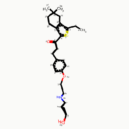 CCc1sc(C(=O)CCc2ccc(OCCNCC=CO)cc2)c2c1CC(C)(C)CC2